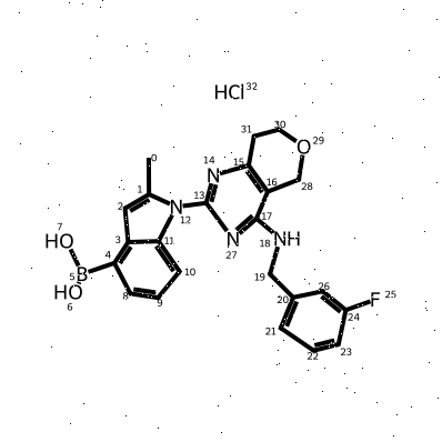 Cc1cc2c(B(O)O)cccc2n1-c1nc2c(c(NCc3cccc(F)c3)n1)COCC2.Cl